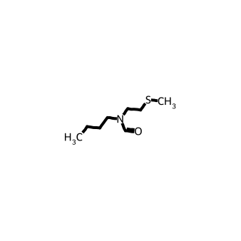 CCCCN(C=O)CCSC